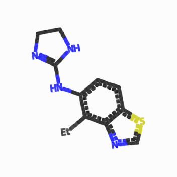 CCc1c(NC2=NCCN2)ccc2scnc12